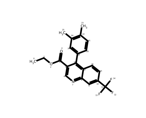 CCOC(=O)c1cnc2cc(C(F)(F)F)ccc2c1-c1ccc(C)c(C)c1